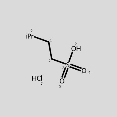 CC(C)CCS(=O)(=O)O.Cl